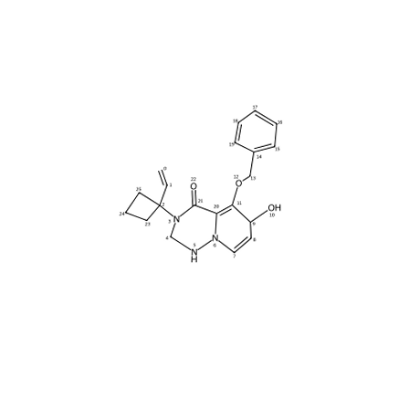 C=CC1(N2CNN3C=CC(O)C(OCc4ccccc4)=C3C2=O)CCC1